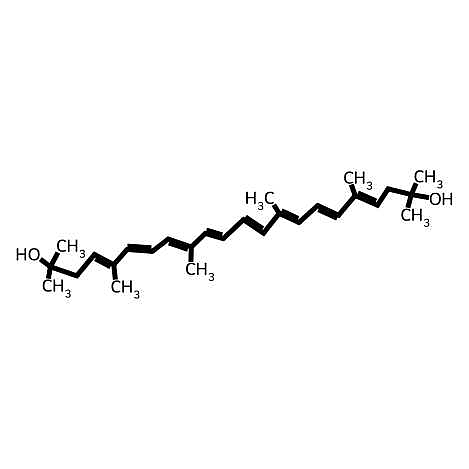 CC(/C=C/C=C/C(C)=C/C=C/C(C)=C/CC(C)(C)O)=C\C=C\C(C)=C\CC(C)(C)O